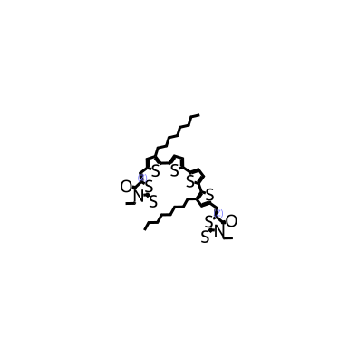 CCCCCCCCc1cc(/C=C2\SC(=S)N(CC)C2=O)sc1-c1ccc(-c2ccc(-c3sc(/C=C4\SC(=S)N(CC)C4=O)cc3CCCCCCCC)s2)s1